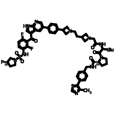 Cc1ncsc1-c1ccc(CNC(=O)[C@@H]2CCCN2C(=O)C(NC(=O)CN2CC(CCN3CC(c4ccc(-c5cnc6[nH]cc(C(=O)c7c(F)ccc(NS(=O)(=O)N8CC[C@@H](F)C8)c7F)c6c5)cc4)C3)C2)C(C)(C)C)cc1